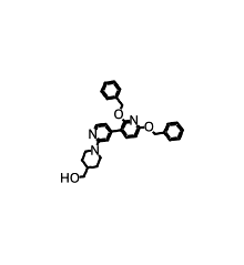 OCC1CCN(c2cc(-c3ccc(OCc4ccccc4)nc3OCc3ccccc3)ccn2)CC1